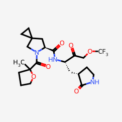 CC1(C(=O)N2CC3(CC3)C[C@H]2C(=O)N[C@@H](C[C@@H]2CCNC2=O)C(=O)COC(F)(F)F)CCCO1